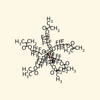 C=C(C)C(=O)OCC(F)(F)C(F)(F)C(F)(F)CO[Si](C[Si](OCC(F)(F)C(F)(F)C(F)(F)COC(=O)C(=C)C)(OCC(F)(F)C(F)(F)C(F)(F)COC(=O)C(=C)C)OCC(F)(F)C(F)(F)C(F)(F)COC(=O)C(=C)C)(OCC(F)(F)C(F)(F)C(F)(F)COC(=O)C(=C)C)OCC(F)(F)C(F)(F)C(F)(F)COC(=O)C(=C)C